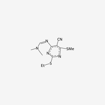 CCSc1nc(/N=C\N(C)C)c(C#N)c(SC)n1